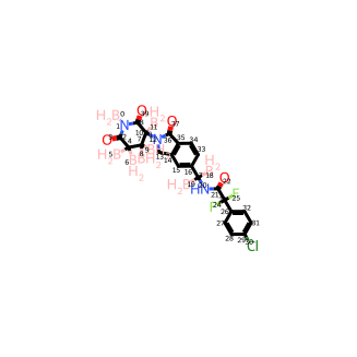 BN1C(=O)C(B)(B)C(B)(B)[C@@](B)(N2Cc3cc(C(B)(B)NC(=O)C(F)(F)c4ccc(Cl)cc4)ccc3C2=O)C1=O